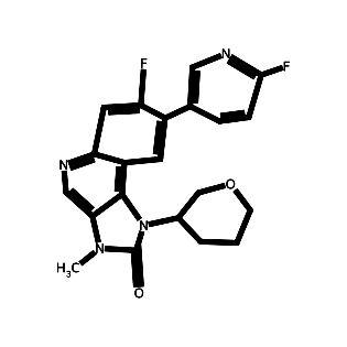 Cn1c(=O)n(C2CCCOC2)c2c3cc(-c4ccc(F)nc4)c(F)cc3ncc21